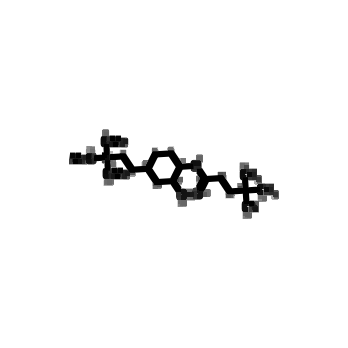 CO[Si](CCC1CCC(OC(=O)CCC(C)(C)C#N)C(O)C1)(OC)OC